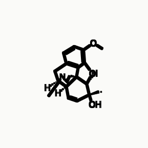 [CH2][C@@]1(O)C=C[C@H]2[C@H]3Cc4ccc(OC)c5c4[C@@]2(CCN3C)[C@H]1O5